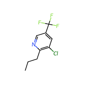 CCCc1ncc(C(F)(F)F)cc1Cl